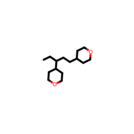 [CH2]CC(CCC1CCOCC1)C1CCOCC1